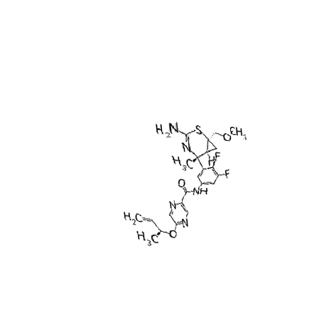 C=C[C@H](C)Oc1cnc(C(=O)Nc2cc(F)c(F)c([C@]3(C)N=C(N)S[C@@]4(COC)C[C@H]43)c2)cn1